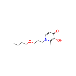 CCCCOCCCn1ccc(=O)c(O)c1C